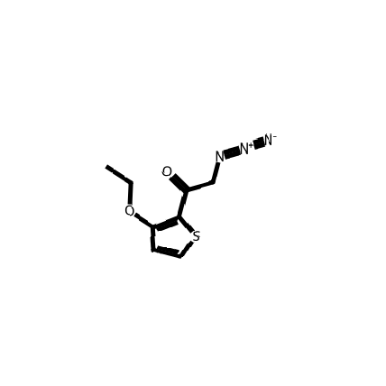 CCOc1ccsc1C(=O)CN=[N+]=[N-]